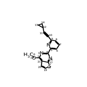 COc1nc(-c2cccc(C#CC3CC3)n2)nc2sccc12